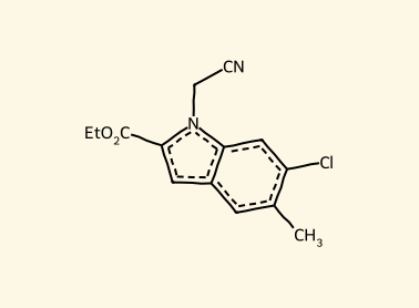 CCOC(=O)c1cc2cc(C)c(Cl)cc2n1CC#N